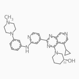 CN1CCN(c2cccc(Nc3cc(-c4nc(N5CCC[C@H](O)C5)c5c(C6CC6)cncc5n4)ccn3)c2)CC1